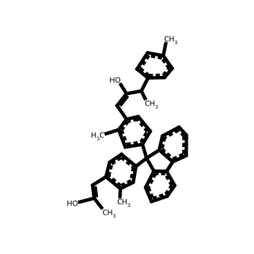 C/C(O)=C\c1ccc(C2(c3ccc(/C=C(/O)C(C)c4ccc(C)cc4)c(C)c3)c3ccccc3-c3ccccc32)cc1C